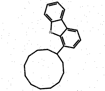 c1ccc2c(c1)[N]c1c-2cccc1C1CCCCCCCCCCC1